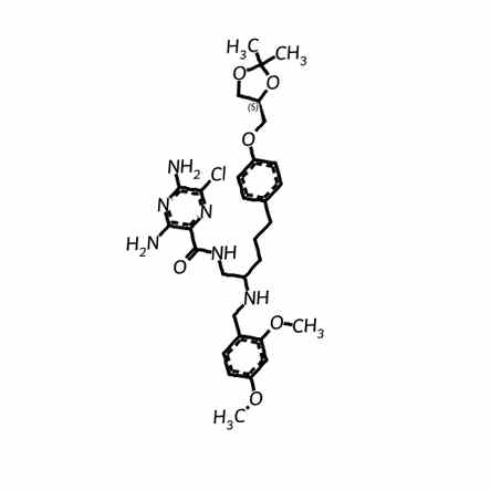 COc1ccc(CNC(CCCc2ccc(OC[C@H]3COC(C)(C)O3)cc2)CNC(=O)c2nc(Cl)c(N)nc2N)c(OC)c1